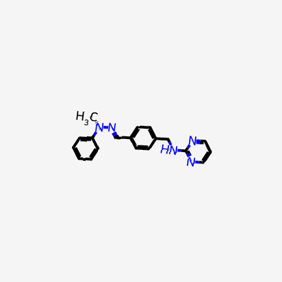 CN(/N=C/c1ccc(CNc2ncccn2)cc1)c1ccccc1